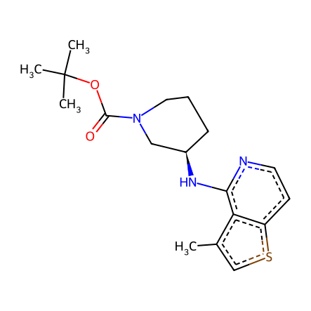 Cc1csc2ccnc(N[C@@H]3CCCN(C(=O)OC(C)(C)C)C3)c12